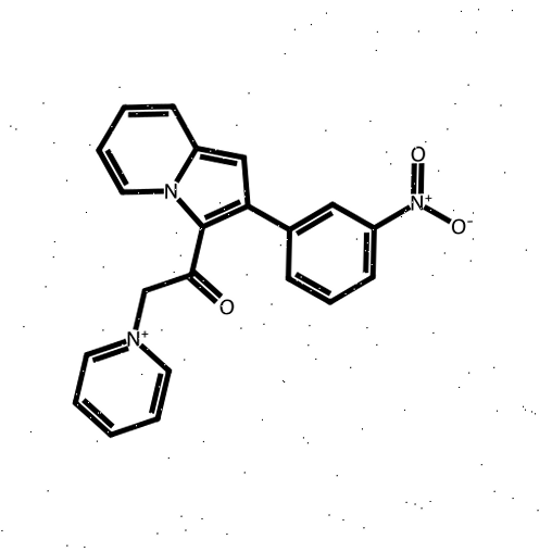 O=C(C[n+]1ccccc1)c1c(-c2cccc([N+](=O)[O-])c2)cc2ccccn12